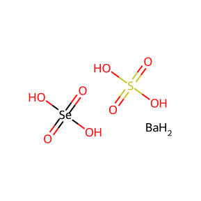 O=S(=O)(O)O.O=[Se](=O)(O)O.[BaH2]